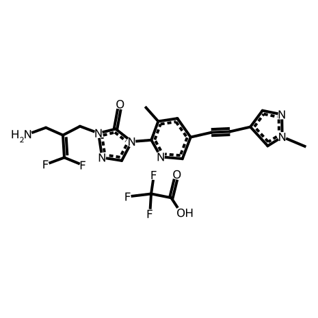 Cc1cc(C#Cc2cnn(C)c2)cnc1-n1cnn(CC(CN)=C(F)F)c1=O.O=C(O)C(F)(F)F